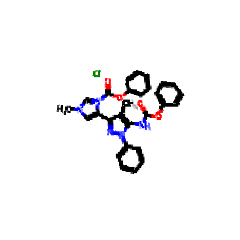 Cc1c(-c2cn(C)c[n+]2C(=O)Oc2ccccc2)nn(-c2ccccc2)c1NC(=O)Oc1ccccc1.[Cl-]